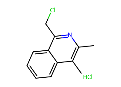 Cc1nc(CCl)c2ccccc2c1C.Cl